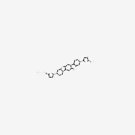 CNc1ccc(-c2ccc3c(c2)sc2cc4c(cc23)oc2cc(-c3ccc(C)s3)ccc24)s1